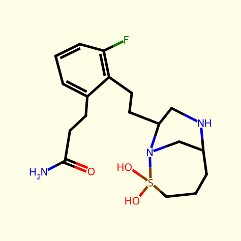 NC(=O)CCc1cccc(F)c1CCC1CNC2CCCS(O)(O)N1C2